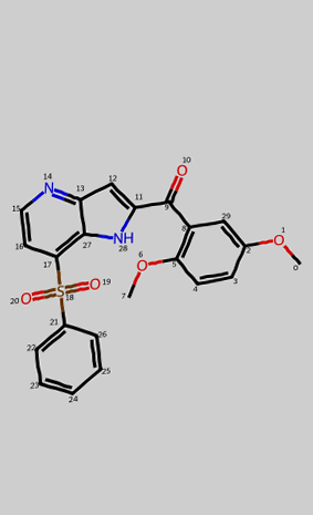 COc1ccc(OC)c(C(=O)c2cc3nccc(S(=O)(=O)c4ccccc4)c3[nH]2)c1